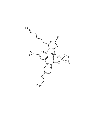 C=CCCCCc1cc(F)cc(C)c1-c1cc(C2CC2)cc([C@H](CC(=O)OCC)NC(=O)OC(C)(C)C)c1